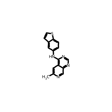 Cc1cc2c(Nc3ccc4sccc4c3)ncnc2cn1